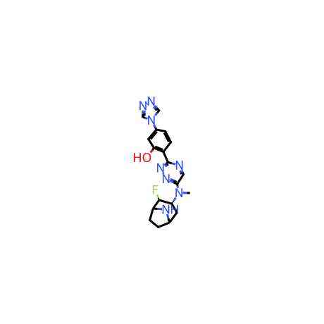 CN(c1cnc(-c2ccc(-n3cnnc3)cc2O)nn1)[C@H]1CC2CCC(N2)[C@H]1F